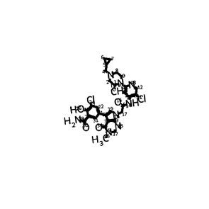 C[C@H]1CN(CC2CC2)CCN1c1cc(NC(=O)Cn2cc(-c3cc(Cl)c(O)c(C(N)=O)c3)c3c(=O)n(C)cnc32)c(Cl)cn1